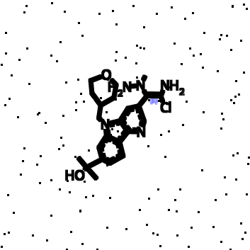 CN(N)/C(=C(\N)Cl)c1cnc2c3ccc(C(C)(C)O)cc3n(CC3CCOCC3)c2c1